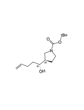 C=CCC[C@@H](O)[C@@H]1CCN(C(=O)OC(C)(C)C)C1